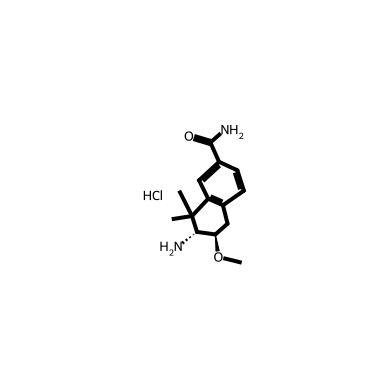 CO[C@@H]1Cc2ccc(C(N)=O)cc2C(C)(C)[C@H]1N.Cl